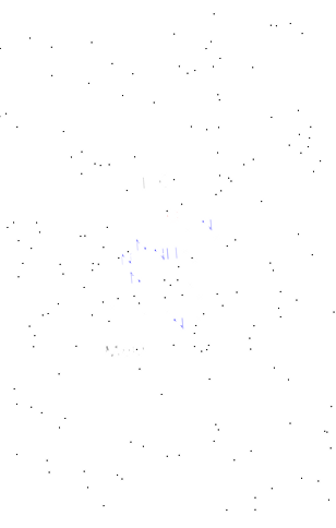 COCC1(c2nc3c(c(-c4ccnc(OCC(F)(F)F)c4)c2-c2nnn[nH]2)CCCCC3)CCCC1